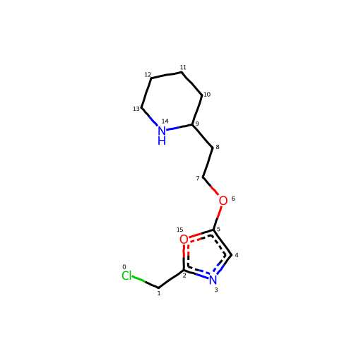 ClCc1ncc(OCCC2CCCCN2)o1